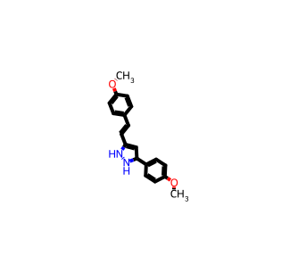 COc1ccc(C=CC2=CC(c3ccc(OC)cc3)NN2)cc1